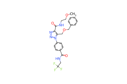 COCCNC(=O)c1nnn(-c2ccc(C(=O)NCC(F)(F)F)cc2)c1COCc1ccccc1